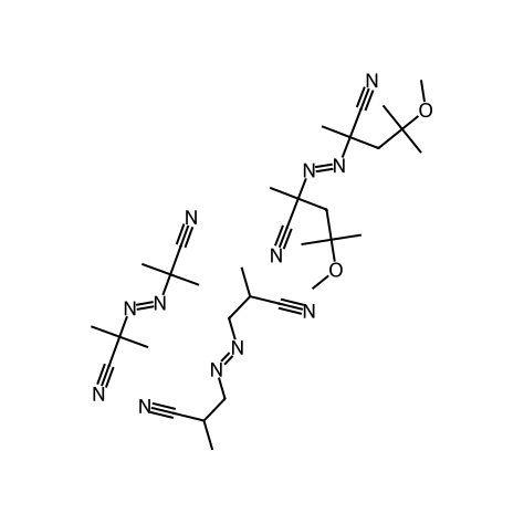 CC(C#N)CN=NCC(C)C#N.CC(C)(C#N)N=NC(C)(C)C#N.COC(C)(C)CC(C)(C#N)N=NC(C)(C#N)CC(C)(C)OC